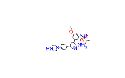 CCOc1cc(NS(=O)(=O)C(C)C)cc(-c2cc(-c3ccc(N4CCNCC4)cc3)cnc2N)c1